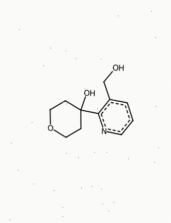 OCc1cccnc1C1(O)CCOCC1